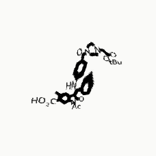 CC(=O)N1C(=O)C(=C(Nc2ccc(C(=O)N3CCN(CC(=O)OC(C)(C)C)CC3)cc2)c2ccccc2)c2cc(C)c(C(=O)O)cc21